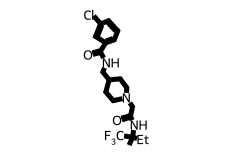 CCC(C)(NC(=O)CN1CCC(CNC(=O)c2cccc(Cl)c2)CC1)C(F)(F)F